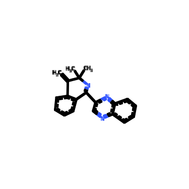 C=C1c2ccccc2C(c2cnc3ccccc3n2)=NC1(C)C